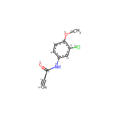 C#CC(=O)Nc1ccc(OC)c(Cl)c1